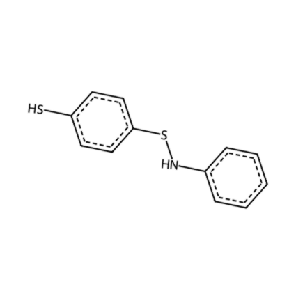 Sc1ccc(SNc2ccccc2)cc1